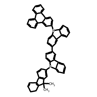 CC1(C)C2=C(C=CCC2)c2ccc(-n3c4ccccc4c4cc(-c5ccc6c(c5)c5ccccc5n6-c5ccc6c7ccccc7c7ccccc7c6c5)ccc43)cc21